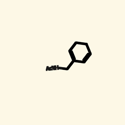 CC(=O)NCC1=CCCC=C1